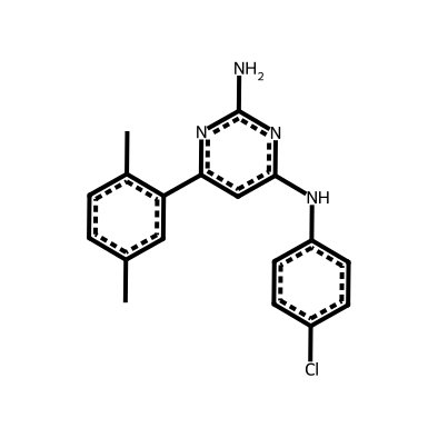 Cc1ccc(C)c(-c2cc(Nc3ccc(Cl)cc3)nc(N)n2)c1